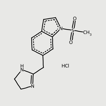 CS(=O)(=O)n1ccc2ccc(CC3=NCCN3)cc21.Cl